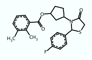 Cc1cccc(C(=O)OC2CCC(N3C(=O)CSC3c3ccc(F)cc3)C2)c1C